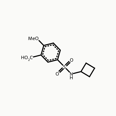 COc1ccc(S(=O)(=O)NC2CCC2)cc1C(=O)O